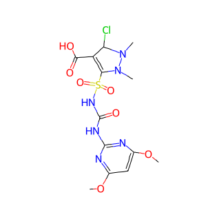 COc1cc(OC)nc(NC(=O)NS(=O)(=O)C2=C(C(=O)O)C(Cl)N(C)N2C)n1